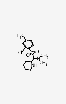 CN(C)C(C1CCCCN1)S(=O)(=O)c1ccc(C(F)(F)F)cc1Cl